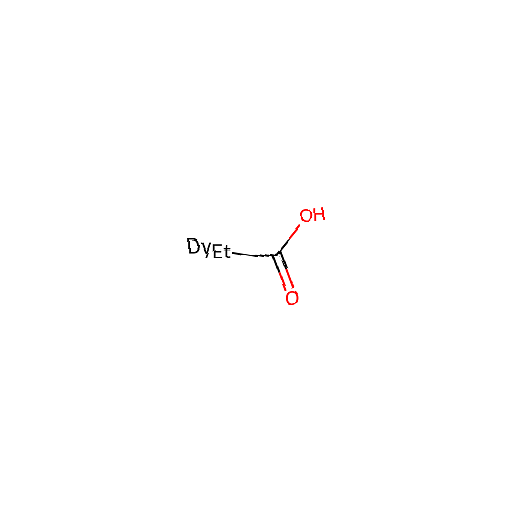 CCC(=O)O.[Dy]